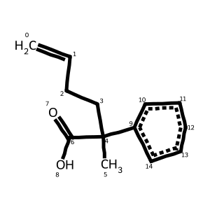 C=CCCC(C)(C(=O)O)c1ccccc1